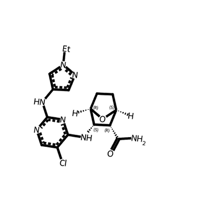 CCn1cc(Nc2ncc(Cl)c(N[C@H]3[C@@H](C(N)=O)[C@@H]4CC[C@H]3O4)n2)cn1